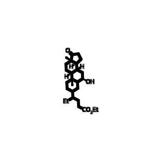 CCOC(=O)CCC(CC)C1CC[C@@]2(C)C(C1)[C@@H](O)C[C@@H]1[C@@H]2CC[C@]2(C)C(=O)CC[C@@H]12